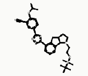 CC(C)Oc1ccc(-c2nc(-c3cccc4c3CC3CCN(CCO[Si](C)(C)C(C)(C)C)C43)no2)cc1C#N